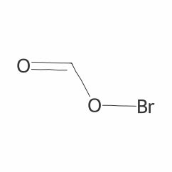 O=COBr